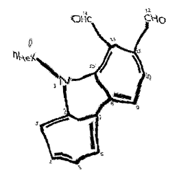 CCCCCCn1c2ccccc2c2ccc(C=O)c(C=O)c21